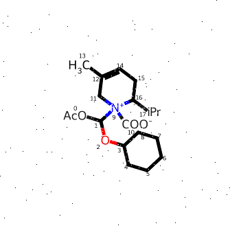 CC(=O)OC(OC1CCCCC1)[N+]1(C(=O)[O-])CC(C)=CCC1C(C)C